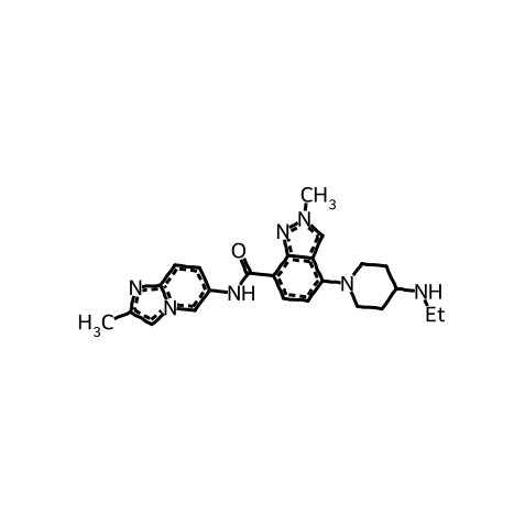 CCNC1CCN(c2ccc(C(=O)Nc3ccc4nc(C)cn4c3)c3nn(C)cc23)CC1